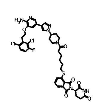 Nc1ncc(-c2cnn(C3CCN(C(=O)CCCCCSc4cccc5c4C(=O)N([C@@H]4CCC(=O)NC4=O)C5=O)CC3)c2)cc1OCCc1c(Cl)ccc(F)c1Cl